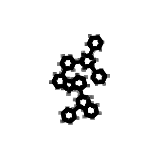 c1ccc(-c2nc(-c3ccccc3)nc(-c3cccc(-c4cccc5sc6c(-c7cc(-c8ccccc8)c8ccccc8n7)cccc6c45)c3)n2)cc1